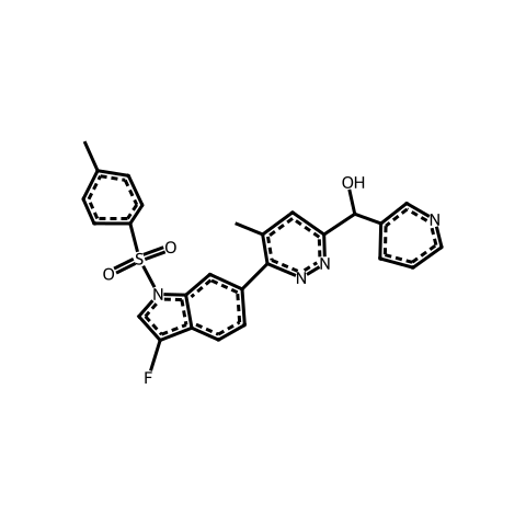 Cc1ccc(S(=O)(=O)n2cc(F)c3ccc(-c4nnc(C(O)c5cccnc5)cc4C)cc32)cc1